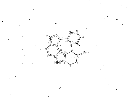 CC(C)N1CCc2[nH]c3ccc4scc(-c5ccccc5)c4c3c2C1